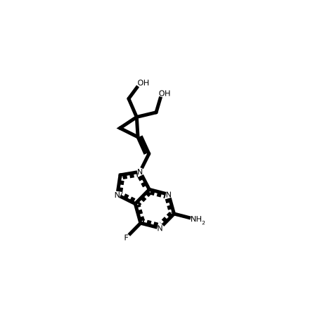 Nc1nc(F)c2ncn(C=C3CC3(CO)CO)c2n1